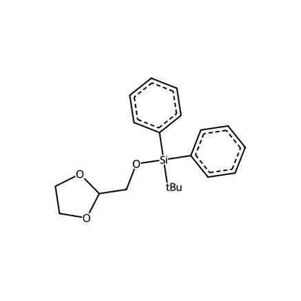 CC(C)(C)[Si](OCC1OCCO1)(c1ccccc1)c1ccccc1